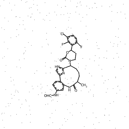 CC1CCCC(N2CCC(c3c(F)ccc(Cl)c3F)OC2=O)c2nc(c[nH]2)-c2ccc(NC=O)cc2NC1=O